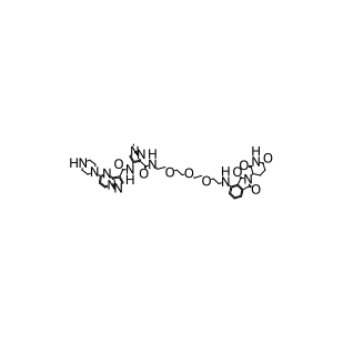 Cn1cc(NC(=O)c2cnn3ccc(N4CCNCC4)nc23)c(C(=O)NCCOCCOCCOCCNc2cccc3c2C(=O)N(C2CCC(=O)NC2=O)C3=O)n1